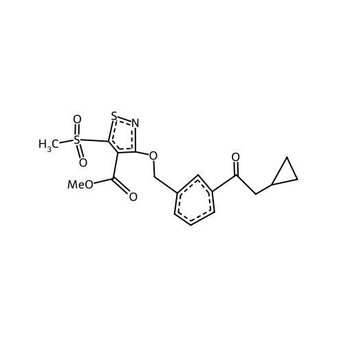 COC(=O)c1c(OCc2cccc(C(=O)CC3CC3)c2)nsc1S(C)(=O)=O